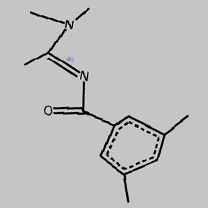 C/C(=N\C(=O)c1cc(C)cc(C)c1)N(C)C